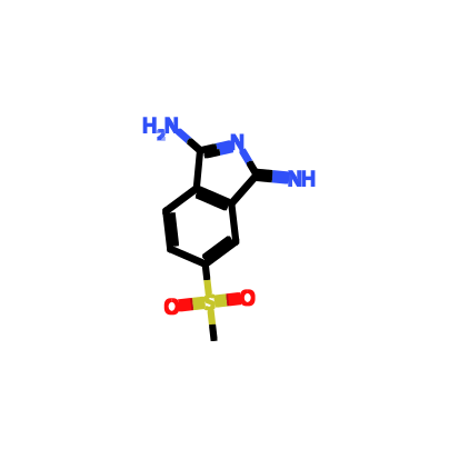 CS(=O)(=O)c1ccc2c(c1)C(=N)N=C2N